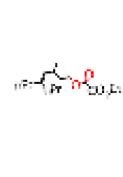 CCCC(=CC(C)CCOC(=O)C(=O)OCC)CCC